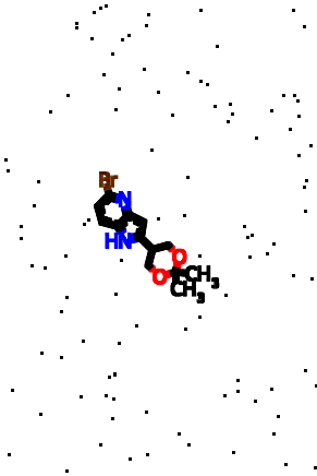 CC1(C)OCC(c2cc3nc(Br)ccc3[nH]2)CO1